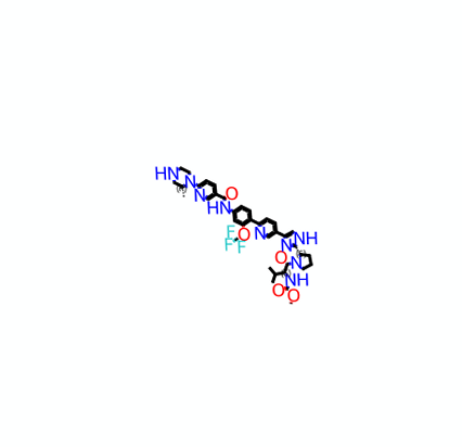 COC(=O)N[C@H](C(=O)N1CCC[C@H]1c1nc(-c2ccc(-c3ccc(NC(=O)c4ccc(N5CCNC[C@H]5C)nc4)cc3OC(F)(F)F)nc2)c[nH]1)C(C)C